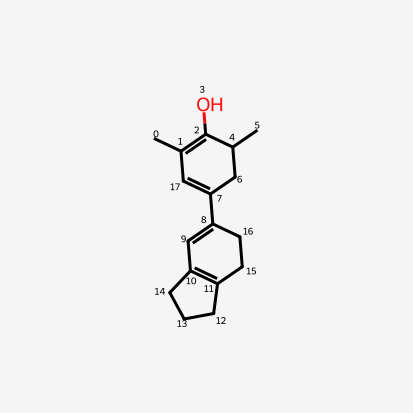 CC1=C(O)C(C)CC(C2=CC3=C(CCC3)CC2)=C1